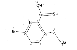 CCCCSc1ccc(Br)nc1C(O)=S